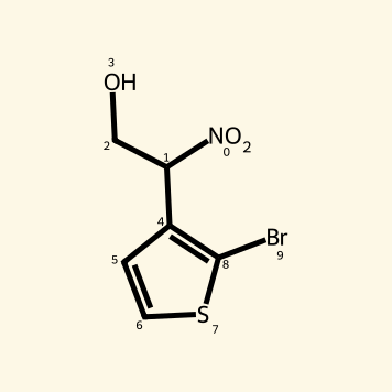 O=[N+]([O-])C(CO)c1ccsc1Br